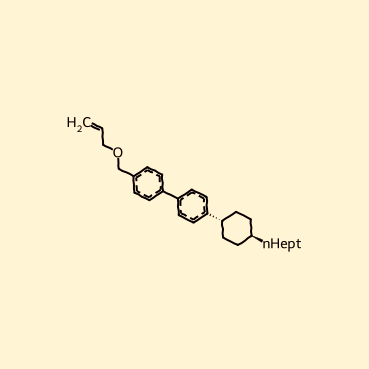 C=CCOCc1ccc(-c2ccc([C@H]3CC[C@H](CCCCCCC)CC3)cc2)cc1